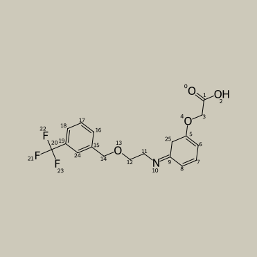 O=C(O)COC1=CC=CC(=NCCOCc2cccc(C(F)(F)F)c2)C1